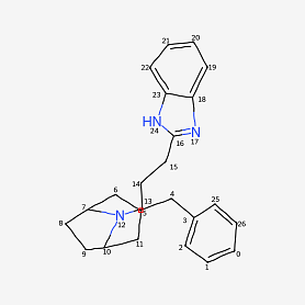 c1ccc(CC2CC3CCC(C2)N3CCCc2nc3ccccc3[nH]2)cc1